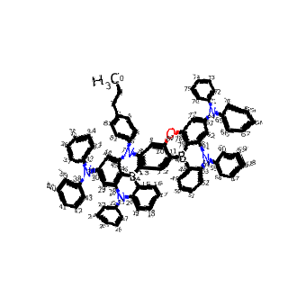 CCCc1ccc(N2c3cc4c(cc3B3c5ccccc5N(c5ccccc5)c5cc(N(c6ccccc6)c6ccccc6)cc2c53)B2c3ccccc3N(c3ccccc3)c3cc(N(c5ccccc5)c5ccccc5)cc(c32)O4)cc1